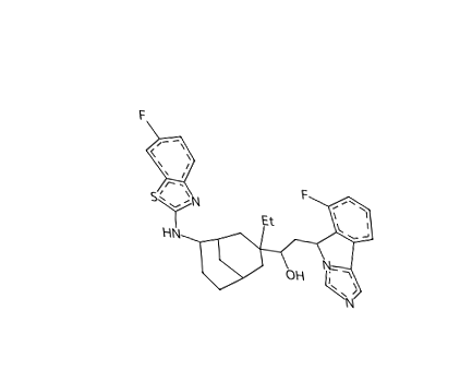 CCC1(C(O)CC2c3c(F)cccc3-c3cncn32)CC2CCC(Nc3nc4ccc(F)cc4s3)C(C2)C1